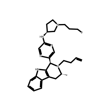 C=CCCN1[C@H](c2cnc(N[C@H]3CCN(CCCF)C3)cn2)c2[nH]c3ccccc3c2C[C@H]1C